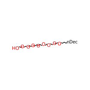 CCCCCCCCCCCCCCOCCOCCOCCOCCOCCOCCOCCOCCO